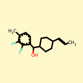 C/C=C/C1CCC(C(O)c2ccc(C)c(F)c2F)CC1